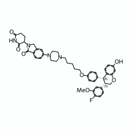 COc1cc([C@H]2COc3cc(O)ccc3[C@H]2c2ccc(OCCCCCN3CCN(c4ccc5c(c4)CN(C4CCC(=O)NC4=O)C5=O)CC3)cc2)ccc1F